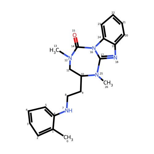 Cc1ccccc1NCCC1CN(C)C(=O)n2c(nc3ccccc32)N1C